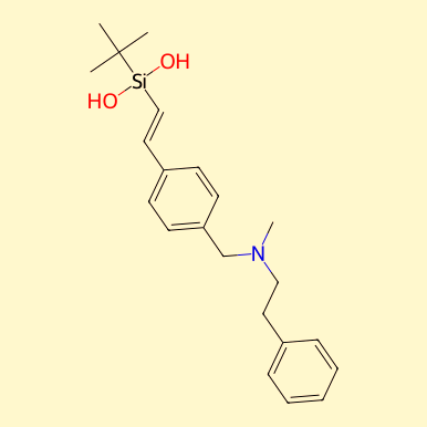 CN(CCc1ccccc1)Cc1ccc(C=C[Si](O)(O)C(C)(C)C)cc1